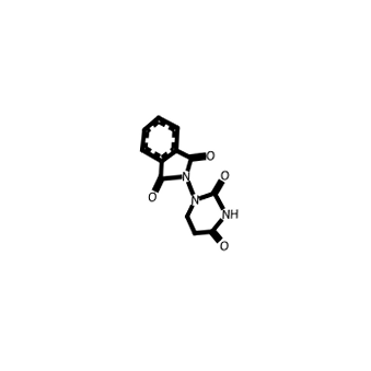 O=C1CCN(N2C(=O)c3ccccc3C2=O)C(=O)N1